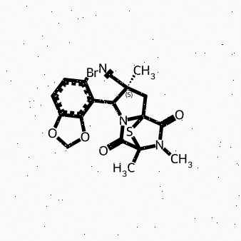 CN1C(=O)C23C[C@](C)(C#N)C(c4c(Br)ccc5c4OCO5)N2C(=O)C1(C)S3